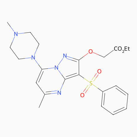 CCOC(=O)COc1nn2c(N3CCN(C)CC3)cc(C)nc2c1S(=O)(=O)c1ccccc1